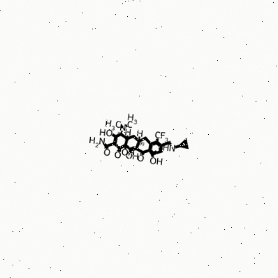 CN(C)[C@@H]1C(O)=C(C(N)=O)C(=O)[C@@]2(O)C(O)=C3C(=O)c4c(O)cc(CNC5CC5)c(C(F)(F)F)c4C[C@H]3C[C@@H]12